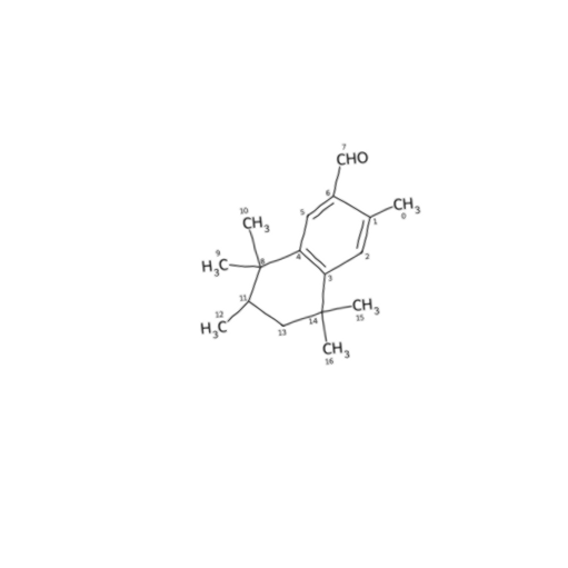 Cc1cc2c(cc1C=O)C(C)(C)C(C)CC2(C)C